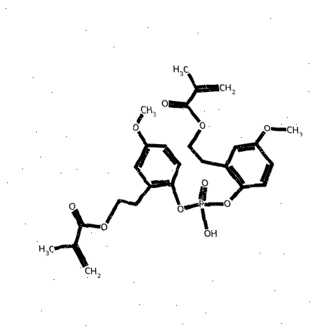 C=C(C)C(=O)OCCc1cc(OC)ccc1OP(=O)(O)Oc1ccc(OC)cc1CCOC(=O)C(=C)C